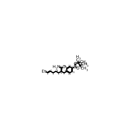 CCC=CCCCC(Cc1ccc(B2OC(C)(C)C(C)(C)O2)cc1)C(N)=O